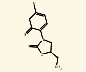 NC[C@@H]1CN(C2=CC=C(Br)CC2=S)C(=O)O1